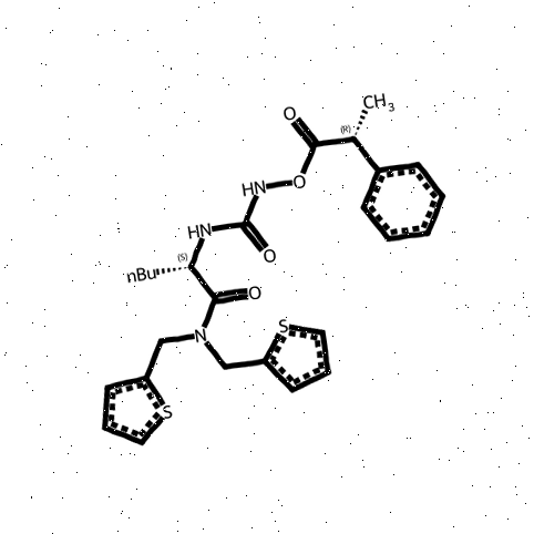 CCCC[C@H](NC(=O)NOC(=O)[C@H](C)c1ccccc1)C(=O)N(Cc1cccs1)Cc1cccs1